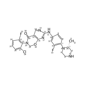 C[C@@H]1CNCCN1c1ccc(Nc2ncc3c(n2)OCN(c2c(F)cccc2Cl)C3=O)cc1F